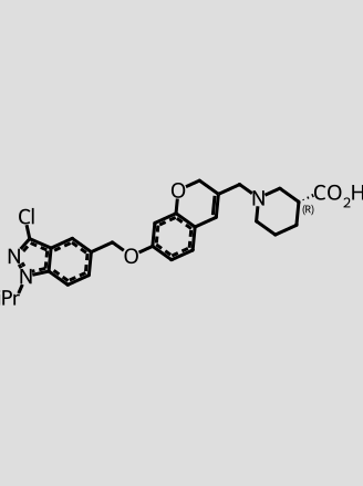 CC(C)n1nc(Cl)c2cc(COc3ccc4c(c3)OCC(CN3CCC[C@@H](C(=O)O)C3)=C4)ccc21